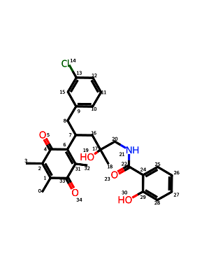 CC1=C(C)C(=O)C(C(Cc2cccc(Cl)c2)CC(C)(O)CNC(=O)c2ccccc2O)=C(C)C1=O